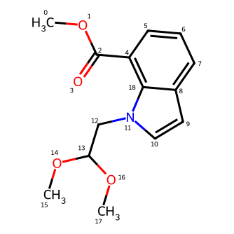 COC(=O)c1cccc2ccn(CC(OC)OC)c12